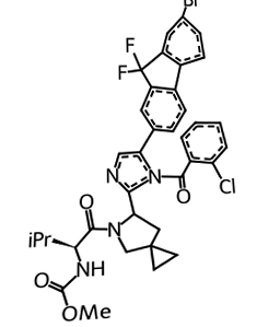 COC(=O)N[C@H](C(=O)N1CC2(CC2)CC1c1ncc(-c2ccc3c(c2)C(F)(F)c2cc(Br)ccc2-3)n1C(=O)c1ccccc1Cl)C(C)C